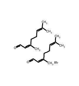 CC(C)=CCC/C(C)=C\C=O.CC(C)=CCC/C(C)=C\C=O.[Rh]